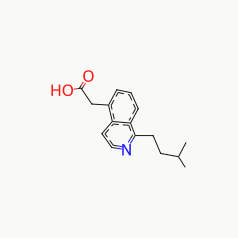 CC(C)CCc1nccc2c(CC(=O)O)cccc12